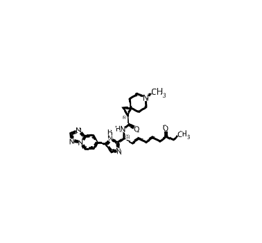 CCC(=O)CCCCC[C@H](NC(=O)[C@H]1CC12CCN(C)CC2)c1ncc(-c2ccn3ncnc3c2)[nH]1